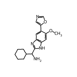 COc1cc2[nH]c(C(N)C3CCCCC3)nc2cc1-c1cnco1